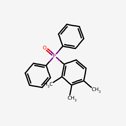 Cc1ccc(P(=O)(c2ccccc2)c2ccccc2)c(C)c1C